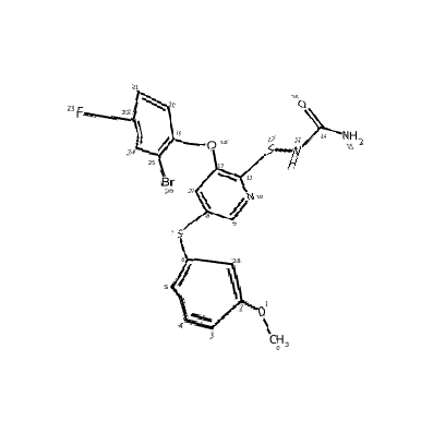 COc1cccc(Sc2cnc(SNC(N)=O)c(Oc3ccc(F)cc3Br)c2)c1